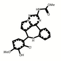 COC(=O)Nc1nc2c3c(ccn3n1)C(c1ccc(OC)c(O)c1Cl)Nc1ccccc1-2